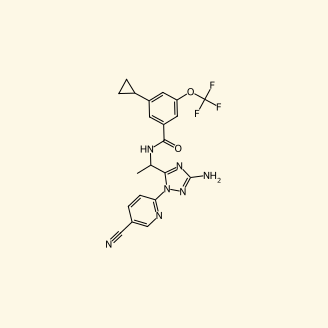 CC(NC(=O)c1cc(OC(F)(F)F)cc(C2CC2)c1)c1nc(N)nn1-c1ccc(C#N)cn1